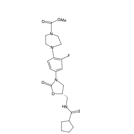 COC(=O)N1CCN(c2ccc(N3C[C@H](CNC(=S)C4CCCC4)OC3=O)cc2F)CC1